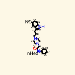 CCCCCCN(C(=O)CN1CCN(CCCc2c[nH]c3ccc(C#N)cc23)CC1)c1ccccc1